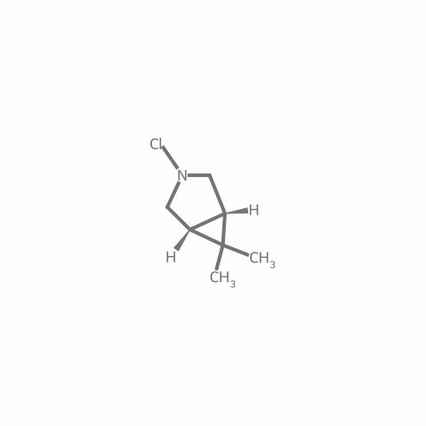 CC1(C)[C@@H]2CN(Cl)C[C@@H]21